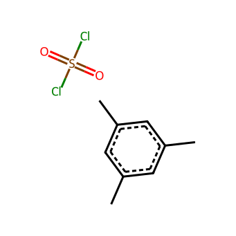 Cc1cc(C)cc(C)c1.O=S(=O)(Cl)Cl